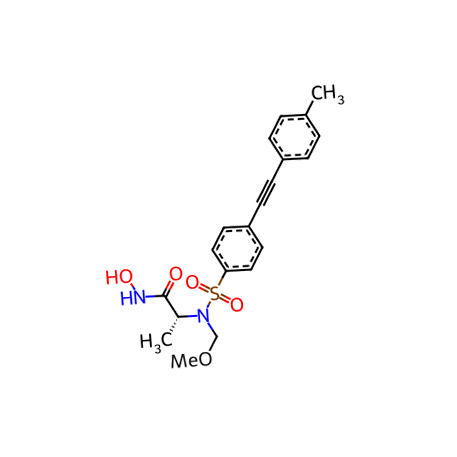 COCN([C@H](C)C(=O)NO)S(=O)(=O)c1ccc(C#Cc2ccc(C)cc2)cc1